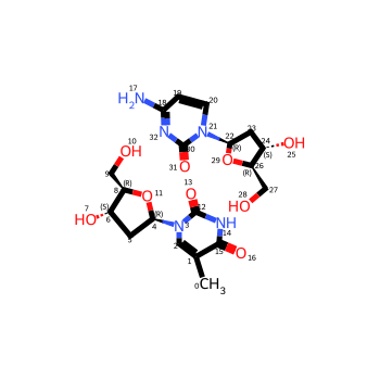 Cc1cn([C@H]2C[C@H](O)[C@@H](CO)O2)c(=O)[nH]c1=O.Nc1ccn([C@H]2C[C@H](O)[C@@H](CO)O2)c(=O)n1